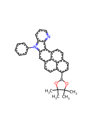 CC1(C)OB(c2ccc3ccc4c5c(ccc2c35)cc2c4c3ncccc3n2-c2ccccc2)OC1(C)C